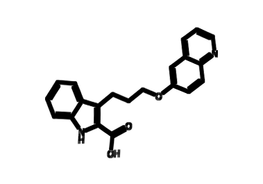 O=C(O)c1[nH]c2ccccc2c1CCCOc1ccc2ncccc2c1